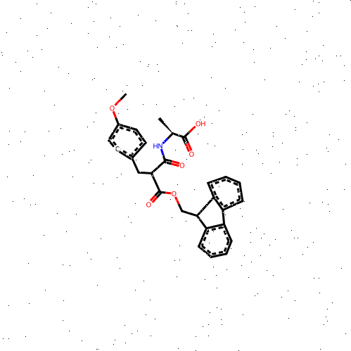 COc1ccc(CC(C(=O)N[C@@H](C)C(=O)O)C(=O)OCC2c3ccccc3-c3ccccc32)cc1